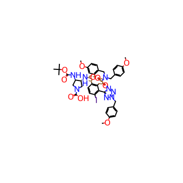 COc1ccc(CN(Cc2ccc(OC)cc2)S(=O)(=O)c2c([S+]([O-])N[C@@H]3CN(C(=O)O)C[C@H]3NC(=O)OC(C)(C)C)ccc(I)c2-c2nnn(Cc3ccc(OC)cc3)n2)cc1